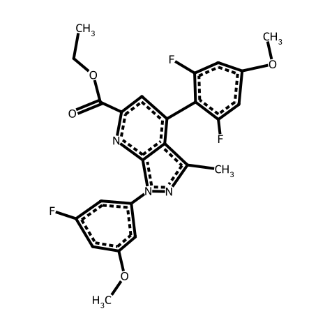 CCOC(=O)c1cc(-c2c(F)cc(OC)cc2F)c2c(C)nn(-c3cc(F)cc(OC)c3)c2n1